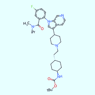 CC(C)N(C)C(=O)c1cc(F)ccc1-n1cc(C2CCN(CC[C@H]3CC[C@H](NC(=O)OC(C)(C)C)CC3)CC2)c2ccncc21